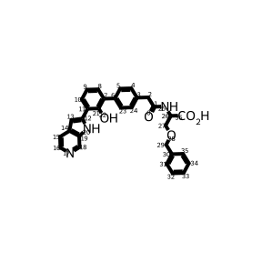 O=C(Cc1ccc(-c2cccc(-c3cc4ccncc4[nH]3)c2O)cc1)NC(COCc1ccccc1)C(=O)O